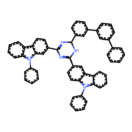 c1ccc(-c2cccc(-c3cccc(C4N=C(c5ccc6c7ccccc7n(-c7ccccc7)c6c5)N=C(c5ccc6c(c5)c5ccccc5n6-c5ccccc5)N4)c3)c2)cc1